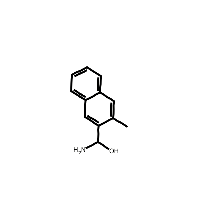 Cc1cc2ccccc2cc1C(N)O